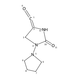 O=C=C1CN(N2CCCC2)C(=O)N1